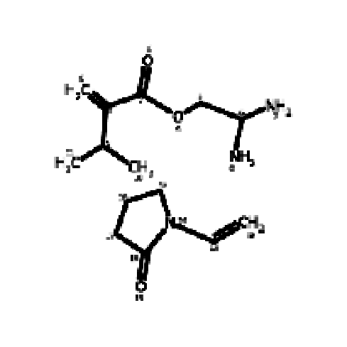 C=C(C(=O)OCC(N)N)C(C)C.C=CN1CCCC1=O